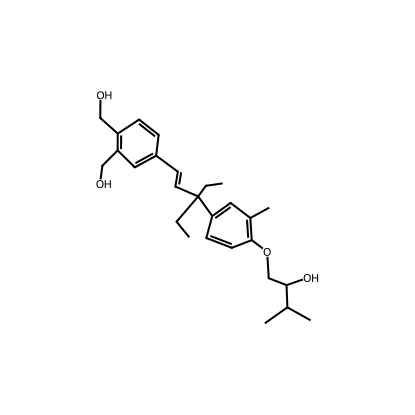 CCC(C=Cc1ccc(CO)c(CO)c1)(CC)c1ccc(OCC(O)C(C)C)c(C)c1